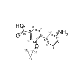 Nc1cccc(-c2ccc(C(=O)O)cc2OC2CC2)c1